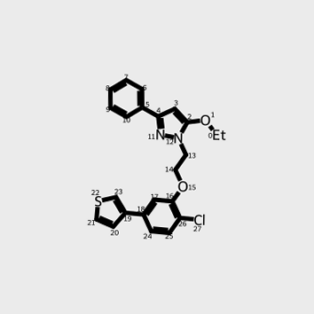 CCOc1cc(-c2ccccc2)nn1CCOc1cc(-c2ccsc2)ccc1Cl